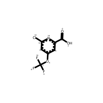 O=C(O)c1cc(OC(F)(F)F)cc(Cl)n1